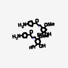 CCCc1cc(/C=C/C(=O)c2ccc(N)cc2)c(OC)cc1O.CCc1cc(/C=C/C(=O)c2ccc(N)cc2)c(OC)cc1O